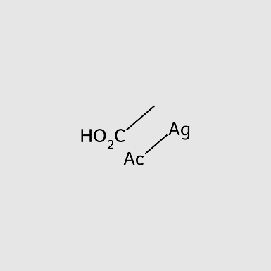 CC(=O)O.C[C](=O)[Ag]